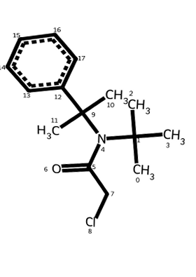 CC(C)(C)N(C(=O)CCl)C(C)(C)c1ccccc1